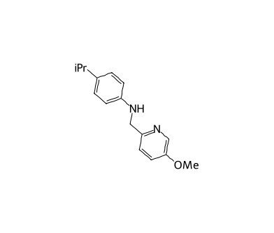 COc1ccc(CNc2ccc(C(C)C)cc2)nc1